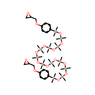 C[Si](C)(O[Si](C)(C)O[Si](C)(C)O[Si](C)(C)O[Si](C)(C)O[Si](C)(C)O[Si](C)(C)c1ccc(OCC2CO2)cc1)O[Si](C)(C)O[Si](C)(C)O[Si](C)(C)O[Si](C)(C)O[Si](C)(C)c1ccc(OCC2CO2)cc1